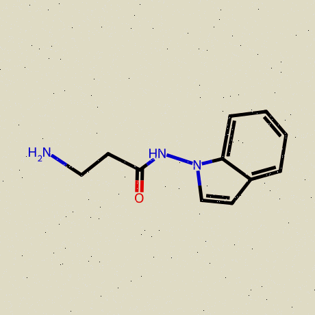 NCCC(=O)Nn1ccc2ccccc21